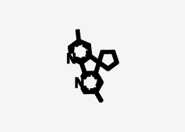 Cc1cnc2c(c1)C1(CCCC1)c1cc(C)cnc1-2